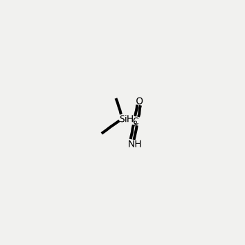 C[SiH2]C.N=C=O